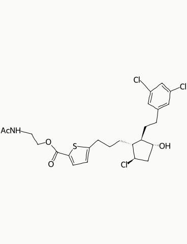 CC(=O)NCCOC(=O)c1ccc(CCC[C@@H]2[C@@H](CCc3cc(Cl)cc(Cl)c3)[C@H](O)C[C@H]2Cl)s1